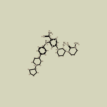 C[C@@H]1[C@H](N2CCCN(C)C2=O)CCCN1c1cnc(C(N)=O)c(Nc2ccc(C3CCN(C4CCCC4)CC3)cc2)n1